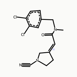 CN(Cc1ccc(Cl)c(Cl)c1)C(=O)/C=C1/CCN(C#N)C1